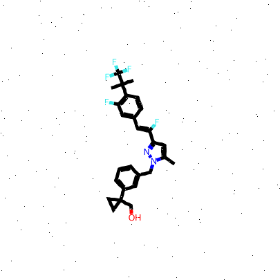 Cc1cc(/C(F)=C/c2ccc(C(C)(C)C(F)(F)F)c(F)c2)nn1Cc1cccc(C2(CO)CC2)c1